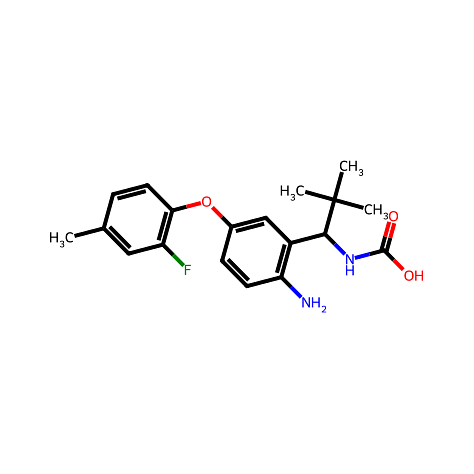 Cc1ccc(Oc2ccc(N)c(C(NC(=O)O)C(C)(C)C)c2)c(F)c1